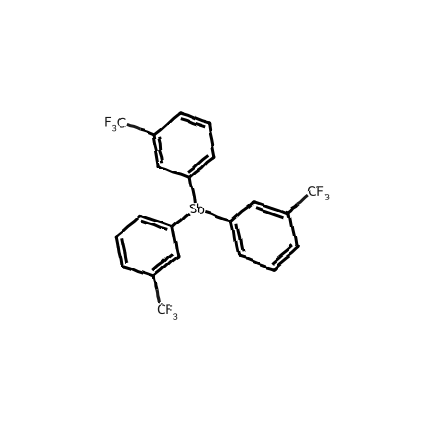 FC(F)(F)c1ccc[c]([Sb]([c]2cccc(C(F)(F)F)c2)[c]2cccc(C(F)(F)F)c2)c1